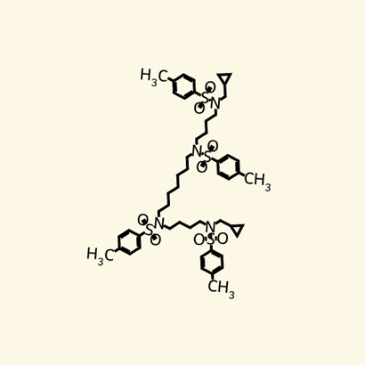 Cc1ccc(S(=O)(=O)N(CCCCCCCN(CCCCN(CC2CC2)S(=O)(=O)c2ccc(C)cc2)S(=O)(=O)c2ccc(C)cc2)CCCCN(CC2CC2)S(=O)(=O)c2ccc(C)cc2)cc1